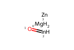 [MgH2].[O]=[InH].[Zn]